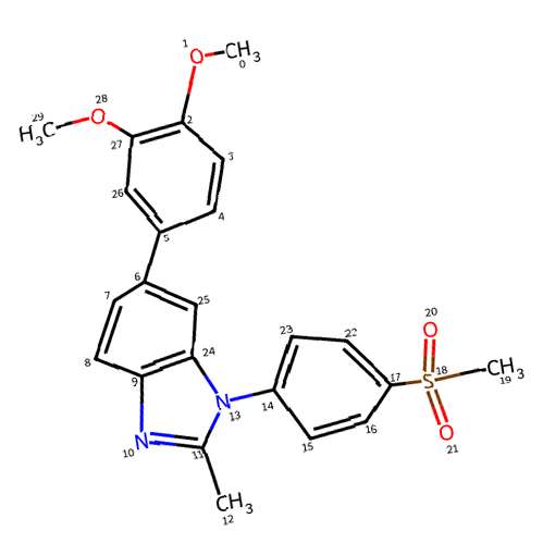 COc1ccc(-c2ccc3nc(C)n(-c4ccc(S(C)(=O)=O)cc4)c3c2)cc1OC